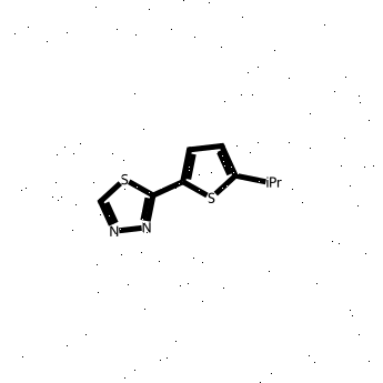 CC(C)c1ccc(-c2nncs2)s1